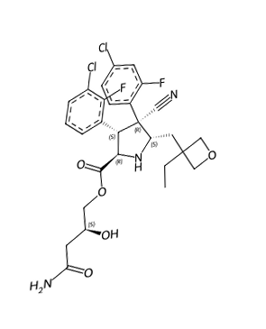 CCC1(C[C@@H]2N[C@@H](C(=O)OC[C@@H](O)CC(N)=O)[C@H](c3cccc(Cl)c3F)[C@@]2(C#N)c2ccc(Cl)cc2F)COC1